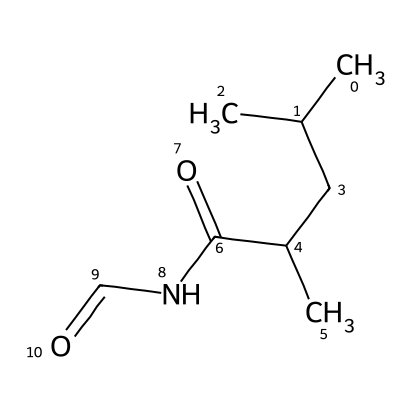 CC(C)CC(C)C(=O)NC=O